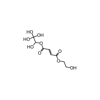 O=C(/C=C/C(=O)OC(O)C(O)(O)O)OCCO